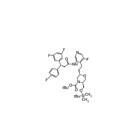 CC(C)(C)OC(=O)N1C[C@@H](CCc2c(F)cncc2NC(=O)C[C@@H](c2ccc(F)cc2)c2cc(F)cc(F)c2)OC[C@H]1CO[Si](C)(C)C(C)(C)C